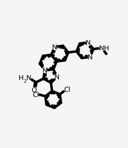 CNc1ncc(-c2cnc3ccn4c(C(N)=O)c(-c5c(Cl)cccc5Cl)nc4c3c2)cn1